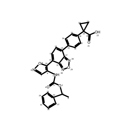 CC(OC(=O)Nc1cnoc1-c1ccc(-c2ccc(C3(C(=O)O)CC3)cc2)c2nonc12)c1ccccc1